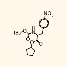 CC(C)(C)OC(=O)N[C@@H](Cc1ccc([N+](=O)[O-])cc1)C(=O)OC1CCCC1